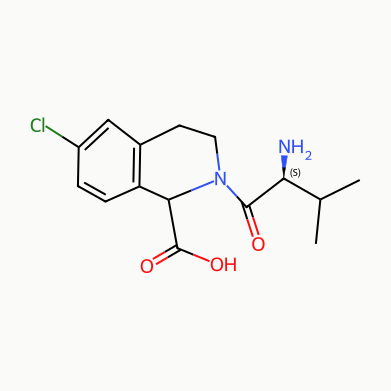 CC(C)[C@H](N)C(=O)N1CCc2cc(Cl)ccc2C1C(=O)O